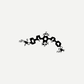 CCCC(F)(F)Oc1ccc(-c2ccc(-c3c4c(c(-c5ccc(-c6ccc(OC(F)(F)CCC)cc6)s5)c5nsnc35)N=S=N4)s2)cc1